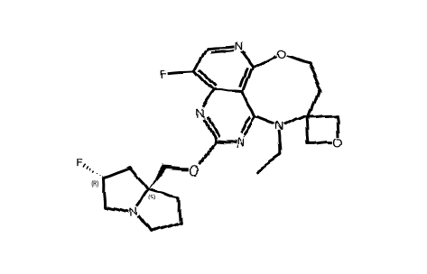 CCN1c2nc(OC[C@@]34CCCN3C[C@H](F)C4)nc3c(F)cnc(c23)OCCC12COC2